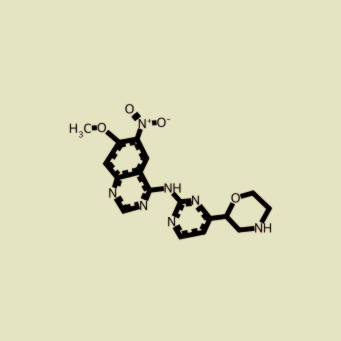 COc1cc2ncnc(Nc3nccc(C4CNCCO4)n3)c2cc1[N+](=O)[O-]